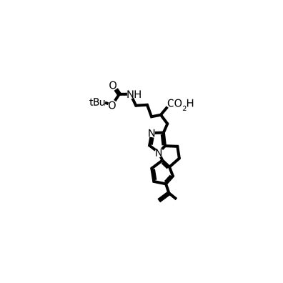 C=C(C)c1ccc2c(c1)CCc1c(CC(CCCNC(=O)OC(C)(C)C)C(=O)O)ncn1-2